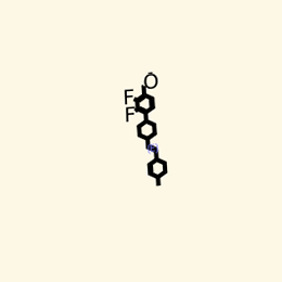 COCc1ccc(C2CCC(/C=C/C3C=CC(C)CC3)CC2)c(F)c1F